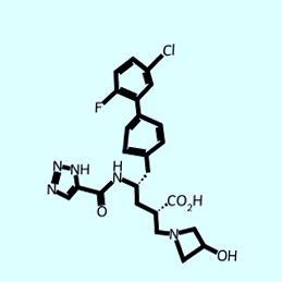 O=C(N[C@H](Cc1ccc(-c2cc(Cl)ccc2F)cc1)C[C@@H](CN1CC(O)C1)C(=O)O)c1cnn[nH]1